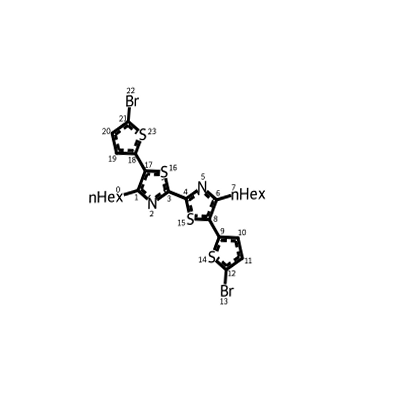 CCCCCCc1nc(-c2nc(CCCCCC)c(-c3ccc(Br)s3)s2)sc1-c1ccc(Br)s1